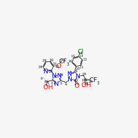 C[C@@H](O)c1nc(Cn2nc(-c3ccc(Cl)cc3)n(C[C@H](O)C(F)(F)F)c2=O)nn1-c1ncccc1OC(F)(F)F